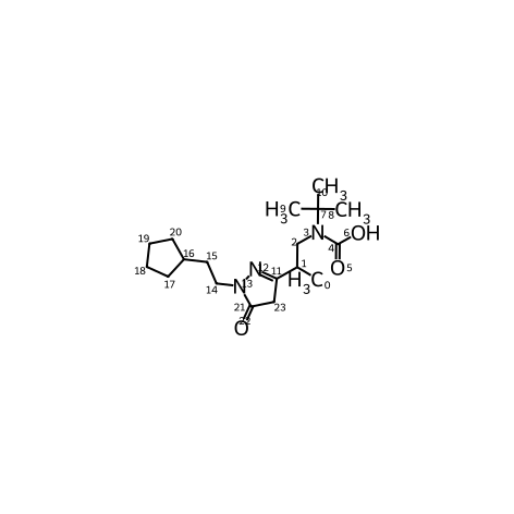 CC(CN(C(=O)O)C(C)(C)C)C1=NN(CCC2CCCC2)C(=O)C1